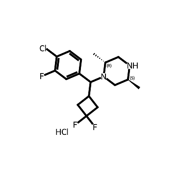 C[C@@H]1CN[C@@H](C)CN1C(c1ccc(Cl)c(F)c1)C1CC(F)(F)C1.Cl